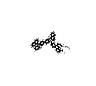 C=C/C=C\c1c(C)c2ccccc2c2ccc(N3c4ccc(-c5ccc6c(c5)Oc5ccccc5N6c5cccc6ccccc56)cc4Oc4c3ccc3ccccc43)cc12